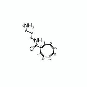 NCCCNC(=O)C1=CC=CC=CC=C1